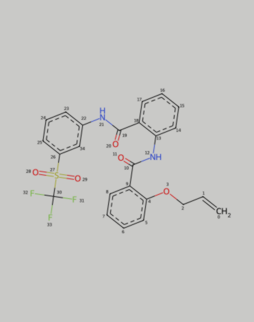 C=CCOc1ccccc1C(=O)Nc1ccccc1C(=O)Nc1cccc(S(=O)(=O)C(F)(F)F)c1